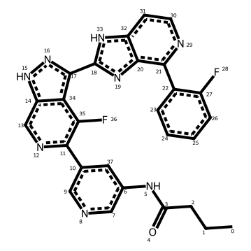 CCCC(=O)Nc1cncc(-c2ncc3[nH]nc(-c4nc5c(-c6ccccc6F)nccc5[nH]4)c3c2F)c1